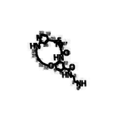 CNCCNC(=O)c1ccc2c(c1)NC(=O)c1csc(n1)-c1ccnc(c1)NCCCCCO2